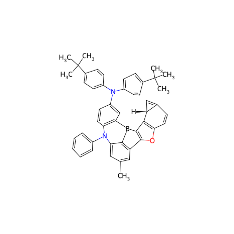 Cc1cc2c3c(c1)N(c1ccccc1)c1ccc(N(c4ccc(C(C)(C)C)cc4)c4ccc(C(C)(C)C)cc4)cc1B3c1c-2oc2c1[C@@H]1C=C1C=C2